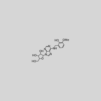 COc1cccc(CNc2ncnc3c2ncn3C2OC(CO)C(O)C2O)c1O